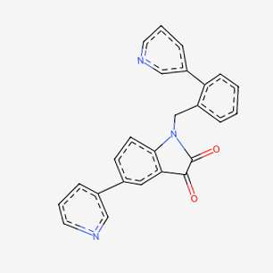 O=C1C(=O)N(Cc2ccccc2-c2cccnc2)c2ccc(-c3cccnc3)cc21